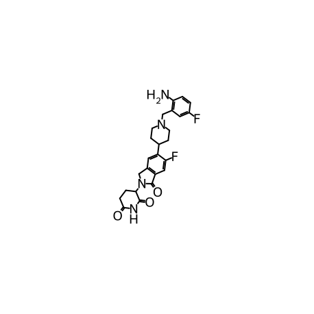 Nc1ccc(F)cc1CN1CCC(c2cc3c(cc2F)C(=O)N(C2CCC(=O)NC2=O)C3)CC1